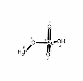 O=[Se](=O)(O)OP